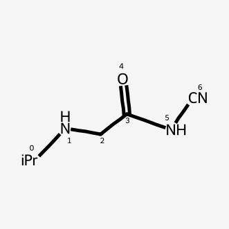 CC(C)NCC(=O)NC#N